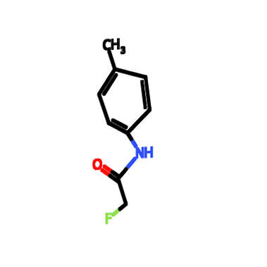 Cc1ccc(NC(=O)CF)cc1